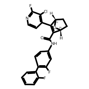 O=C(Nc1ccc(-c2ccccc2F)c(F)c1)C1=C(c2ccnc(F)c2Cl)[C@@H]2CC[C@H]1O2